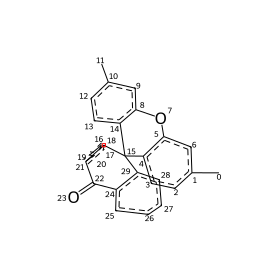 Cc1ccc2c(c1)Oc1cc(C)ccc1C21c2ccccc2C(=O)c2ccccc21